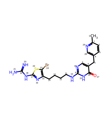 Cc1ccc(Cc2cnc(NCCCCc3nc(NC(=N)N)sc3Br)[nH]c2=O)cn1